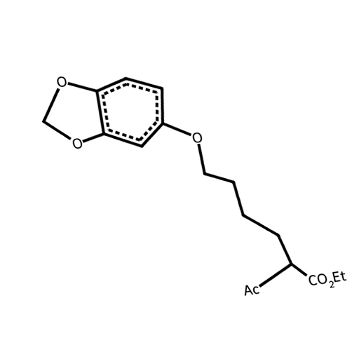 CCOC(=O)C(CCCCOc1ccc2c(c1)OCO2)C(C)=O